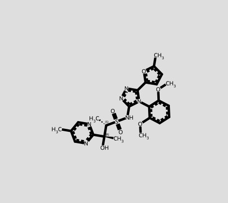 COc1cccc(OC)c1-n1c(NS(=O)(=O)[C@@H](C)[C@](C)(O)c2ncc(C)cn2)nnc1-c1ccc(C)o1